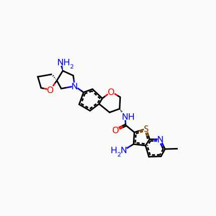 Cc1ccc2c(N)c(C(=O)N[C@H]3COc4cc(N5C[C@H](N)[C@@]6(CCCO6)C5)ccc4C3)sc2n1